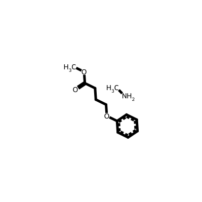 CN.COC(=O)CCCOc1ccccc1